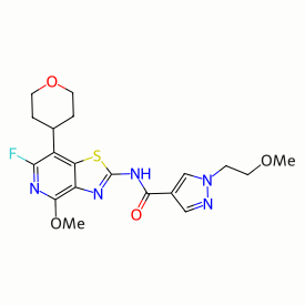 COCCn1cc(C(=O)Nc2nc3c(OC)nc(F)c(C4CCOCC4)c3s2)cn1